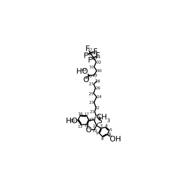 CS[C@@]1(c2ccc(O)cc2)COc2cc(O)ccc2[C@@H]1CCCCCCCCC[C@@H](CCCC(F)(F)C(F)(F)F)C(=O)O